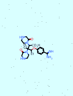 CCC(Oc1ccc(C(=N)N)cc1)C(C)(C(C(=O)O)N1CCNCC1=O)N1CCNCC1=O